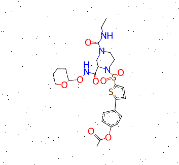 CCNC(=O)N1CCN(S(=O)(=O)c2ccc(-c3ccc(OC(C)=O)cc3)s2)C(C(=O)NOC2CCCCO2)C1